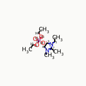 CCN1CC[N+](C)=C1C.CCOP(=O)([O-])OCC